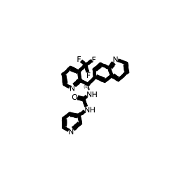 O=C(Nc1cccnc1)N[C@@H](c1ccc2ncccc2c1)c1ncccc1C(F)(F)F